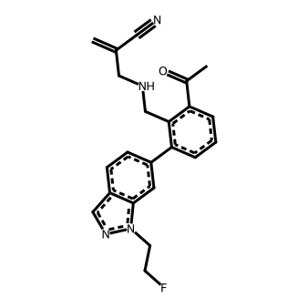 C=C(C#N)CNCc1c(C(C)=O)cccc1-c1ccc2cnn(CCF)c2c1